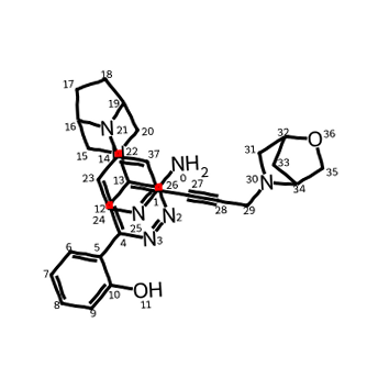 Nc1nnc(-c2ccccc2O)cc1N1CC2CCC(C1)N2c1ccnc(C#CCN2CC3CC2CO3)c1